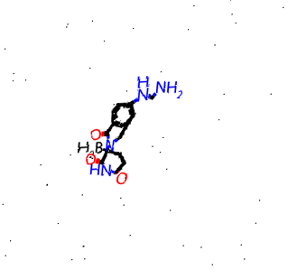 BC1(N2Cc3cc(NCN)ccc3C2=O)CCC(=O)NC1=O